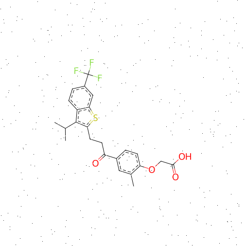 Cc1cc(C(=O)CCc2sc3cc(C(F)(F)F)ccc3c2C(C)C)ccc1OCC(=O)O